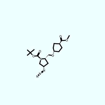 COC(=O)[C@H]1CC[C@H](OC[C@@H]2C[C@H](N=[N+]=[N-])CN2C(=O)OC(C)(C)C)CC1